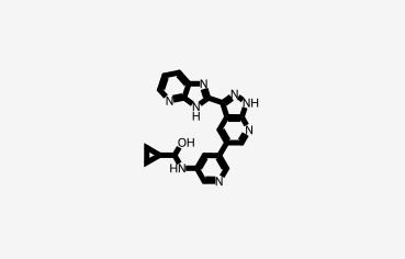 OC(Nc1cncc(-c2cnc3[nH]nc(-c4nc5cccnc5[nH]4)c3c2)c1)C1CC1